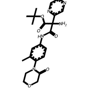 Cc1cc(NC(=O)C(N)(C(=O)OC(C)(C)C)c2cnccn2)ccc1N1CCOCC1=O